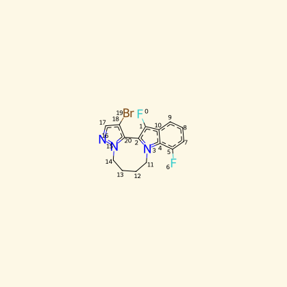 Fc1c2n(c3c(F)cccc13)CCCCn1ncc(Br)c1-2